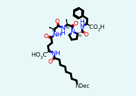 CCCCCCCCCCCCCCCCCC(=O)N[C@@H](CCC(=O)N[C@@H](C)C(=O)N[C@@H](C)C(=O)N1CCC[C@H]1C(=O)N[C@@H](Cc1ccccc1)C(=O)O)C(=O)O